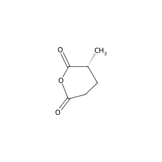 C[C@@H]1CCC(=O)OC1=O